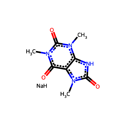 Cn1c(=O)c2c([nH]c(=O)n2C)n(C)c1=O.[NaH]